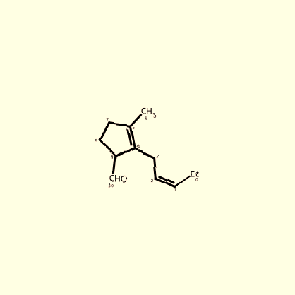 CC/C=C\CC1=C(C)CCC1C=O